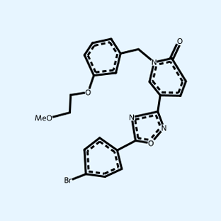 COCCOc1cccc(Cn2cc(-c3noc(-c4ccc(Br)cc4)n3)ccc2=O)c1